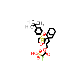 CC(C)(C)c1ccc([SH]2(=O)CCOCC2C2(CCCOC(=O)C(F)S(=O)(=O)O)CC3CCCC(C3)C2)cc1